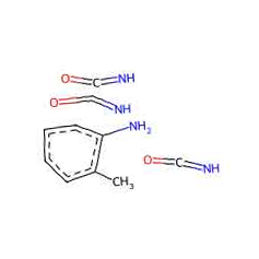 Cc1ccccc1N.N=C=O.N=C=O.N=C=O